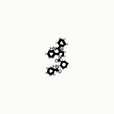 O=C(N[C@H]1CCCC[C@@H]1C(=O)N1CC[C@@H]2C(c3ccccc3)Nc3ccccc3C21)c1ccccc1